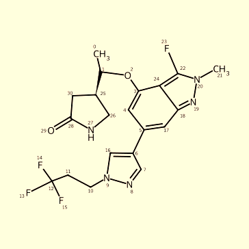 CC(Oc1cc(-c2cnn(CCC(F)(F)F)c2)cc2nn(C)c(F)c12)[C@H]1CNC(=O)C1